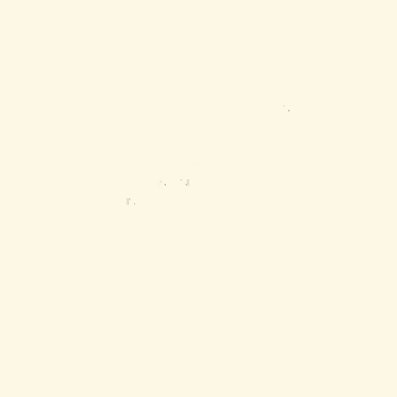 O=C(/C=C/c1cccc([N+](=O)[O-])c1)NNC(=S)Nc1ccc2ccccc2c1